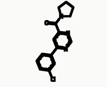 O=C(c1cc(-c2cccc(Cl)c2)ncn1)N1CCCC1